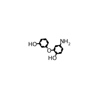 Nc1ccc(O)c(Oc2cccc(O)c2)c1